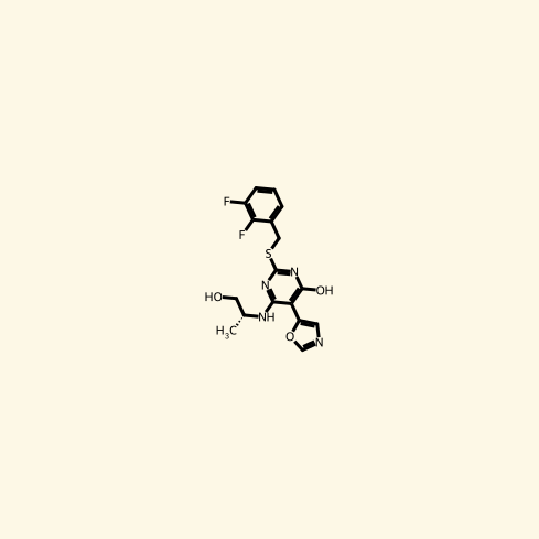 C[C@H](CO)Nc1nc(SCc2cccc(F)c2F)nc(O)c1-c1cnco1